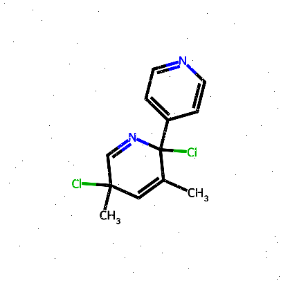 CC1=CC(C)(Cl)C=NC1(Cl)c1ccncc1